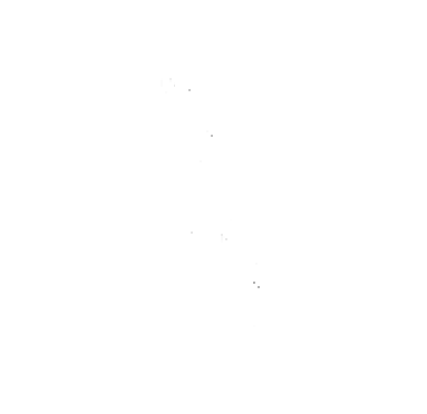 N[C@@H]1CCCN(c2ccc3c(c2)C(=O)N(C2CCC(=O)NC2=O)C3=O)C1